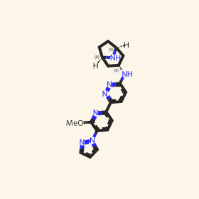 COc1nc(-c2ccc(N[C@@H]3C[C@H]4CC[C@@H](C3)N4)nn2)ccc1-n1cccn1